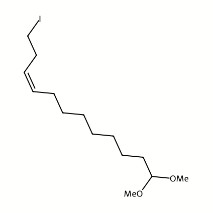 COC(CCCCCCC/C=C\CCI)OC